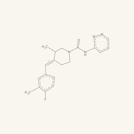 Cc1cc(/C=C2\CCN(C(=O)Nc3cccnn3)CC2C)ccc1F